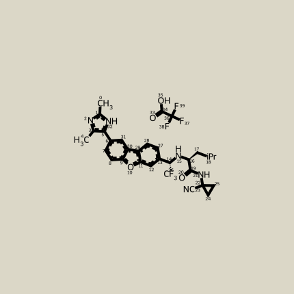 Cc1nc(C)c(-c2ccc3oc4cc([C@H](N[C@@H](CC(C)C)C(=O)NC5(C#N)CC5)C(F)(F)F)ccc4c3c2)[nH]1.O=C(O)C(F)(F)F